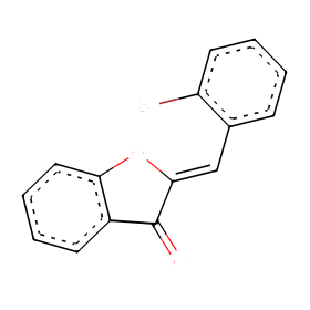 O=C1/C(=C/c2ccccc2Br)Oc2ccccc21